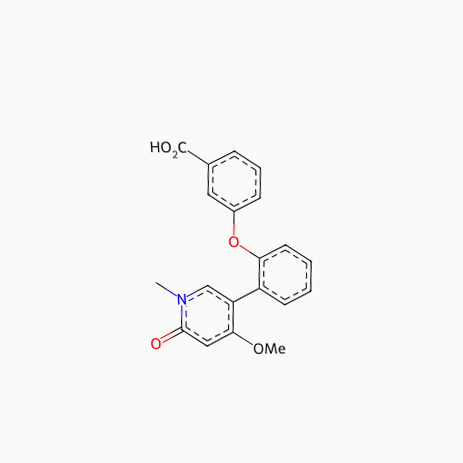 COc1cc(=O)n(C)cc1-c1ccccc1Oc1cccc(C(=O)O)c1